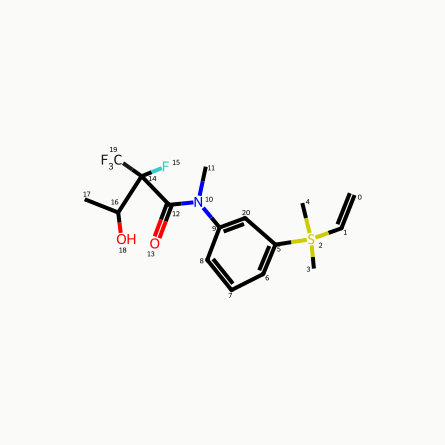 C=CS(C)(C)c1cccc(N(C)C(=O)C(F)(C(C)O)C(F)(F)F)c1